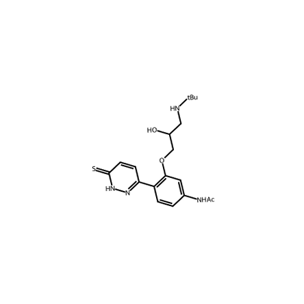 CC(=O)Nc1ccc(-c2ccc(=S)[nH]n2)c(OCC(O)CNC(C)(C)C)c1